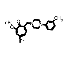 CCCOc1cc(C(C)C)ccc(CN2CCN(c3cccc(C)c3)CC2)c1=O